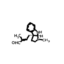 C/C(C=O)=C\C[C@@]12CCN(C)[C@@H]1Nc1ccccc12